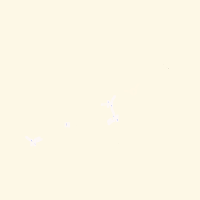 C[Si](C)(C)CCOCn1cc(/C=C/c2cccnc2)c(C=O)n1